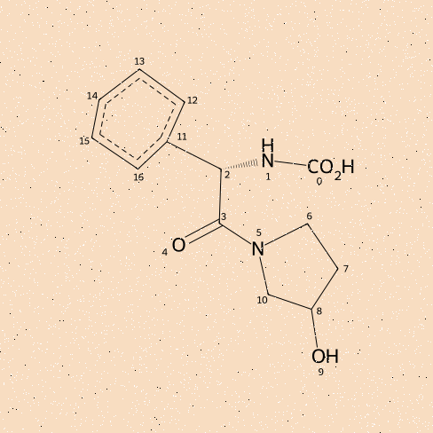 O=C(O)N[C@H](C(=O)N1CCC(O)C1)c1ccccc1